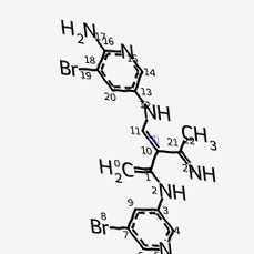 C=C(Nc1cncc(Br)c1)/C(=C/Nc1cnc(N)c(Br)c1)C(C)=N